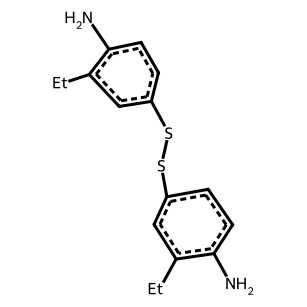 CCc1cc(SSc2ccc(N)c(CC)c2)ccc1N